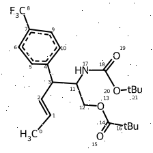 CC=CC(c1ccc(C(F)(F)F)cc1)C(COC(=O)C(C)(C)C)NC(=O)OC(C)(C)C